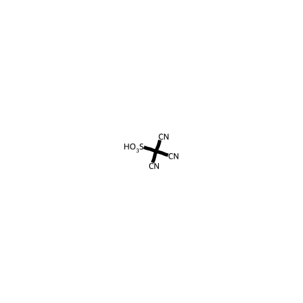 N#CC(C#N)(C#N)S(=O)(=O)O